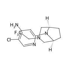 Nc1cc(N2[C@@H]3CC[C@H]2CN(CC(F)(F)F)C3)ncc1Cl